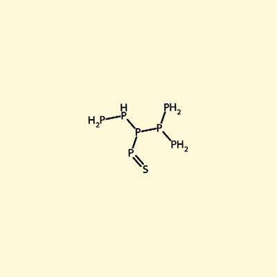 PPP(P=S)P(P)P